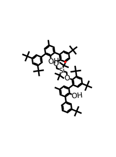 Cc1cc(-c2cc(C(C)(C)C)cc(C(C)(C)C)c2)c(O)c(-c2cc(C(C)(C)C)ccc2OC[Si](COc2c(-c3cc(C)cc(-c4cccc(C(C)(C)C)c4)c3O)cc(C(C)(C)C)cc2C(C)(C)C)(C(C)(C)C)C(C)(C)C)c1